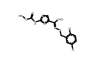 CCCCOC(=O)Nc1nc(/C([C]=O)=N/OCc2cc(Cl)ccc2Cl)cs1